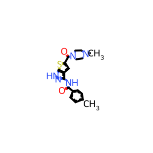 Cc1ccc(C(=O)Nc2n[nH]c3sc(C(=O)N4CCN(C)CC4)cc23)cc1